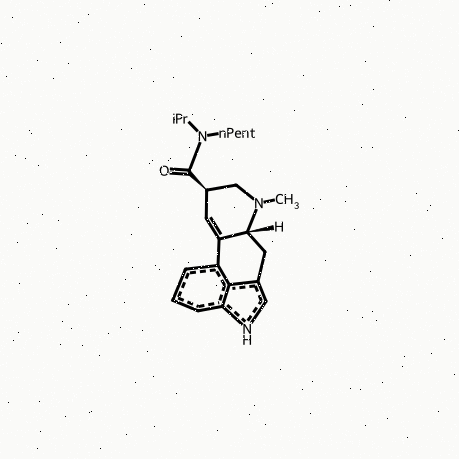 CCCCCN(C(=O)[C@@H]1C=C2c3cccc4[nH]cc(c34)C[C@H]2N(C)C1)C(C)C